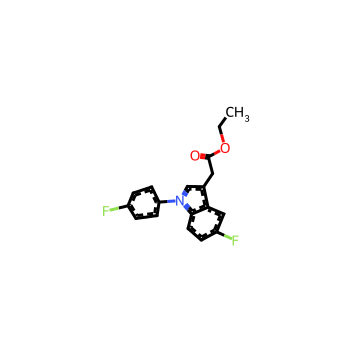 CCOC(=O)Cc1cn(-c2ccc(F)cc2)c2ccc(F)cc12